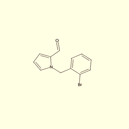 O=Cc1cccn1Cc1ccccc1Br